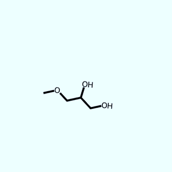 COCC(O)CO